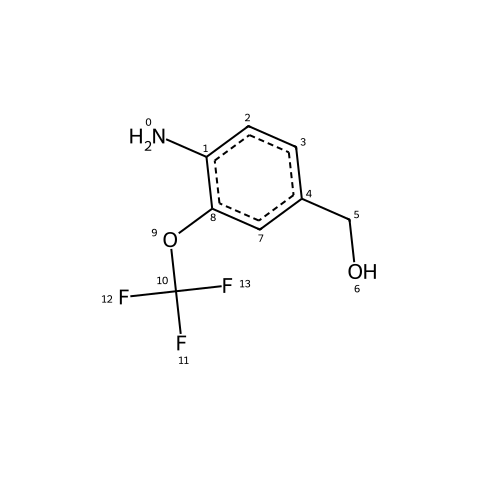 Nc1ccc(CO)cc1OC(F)(F)F